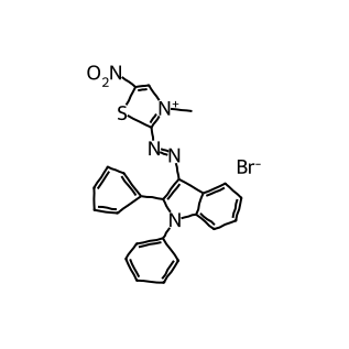 C[n+]1cc([N+](=O)[O-])sc1N=Nc1c(-c2ccccc2)n(-c2ccccc2)c2ccccc12.[Br-]